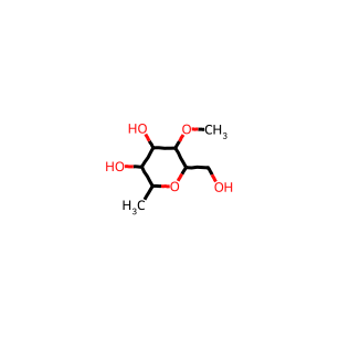 COC1C(CO)OC(C)C(O)C1O